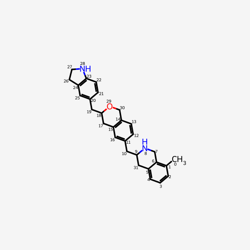 Cc1cccc2c1CNC(Cc1ccc3c(c1)CC(Cc1ccc4c(c1)CCN4)OC3)C2